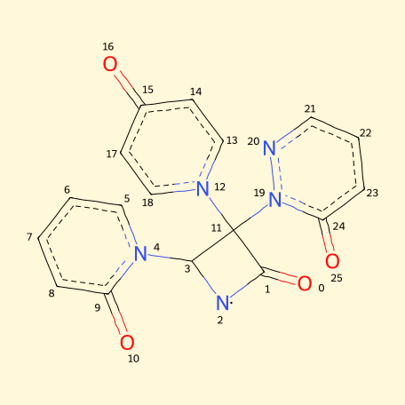 O=C1[N]C(n2ccccc2=O)C1(n1ccc(=O)cc1)n1ncccc1=O